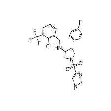 Cn1cnc(S(=O)(=O)N2C[C@@H](NCc3cccc(C(F)(F)F)c3Cl)[C@H](c3ccc(F)cc3)C2)c1